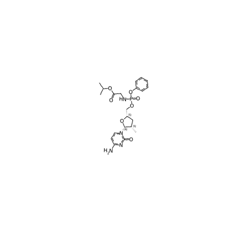 CC(C)OC(=O)CNP(=O)(OC[C@@H]1C[C@H](C)[C@H](n2ccc(N)nc2=O)O1)Oc1ccccc1